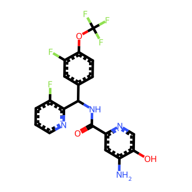 Nc1cc(C(=O)NC(c2ccc(OC(F)(F)F)c(F)c2)c2ncccc2F)ncc1O